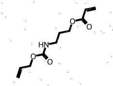 C=CCOC(=O)NCCCOC(=O)C=C